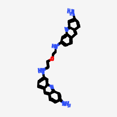 Nc1ccc2cc3ccc(NCCOCCNc4ccc5cc6ccc(N)cc6nc5c4)cc3nc2c1